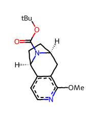 COc1nccc2c1C[C@@H]1CC[C@H]2N1C(=O)OC(C)(C)C